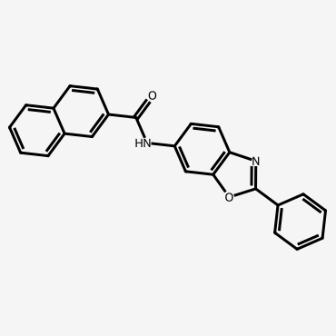 O=C(Nc1ccc2nc(-c3ccccc3)oc2c1)c1ccc2ccccc2c1